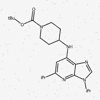 CC(C)c1cc(NC2CCN(C(=O)OC(C)(C)C)CC2)c2ncn(C(C)C)c2n1